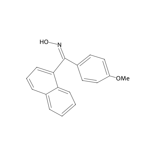 COc1ccc(/C(=N/O)c2cccc3ccccc23)cc1